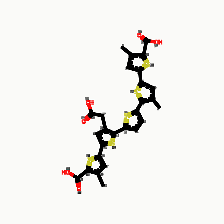 Cc1cc(-c2cc(C)c(-c3ccc(-c4sc(-c5cc(C)c(C(=O)O)s5)cc4CC(=O)O)s3)s2)sc1C(=O)O